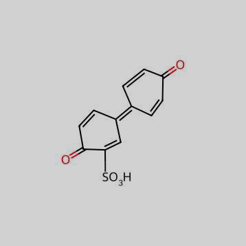 O=C1C=CC(=C2C=CC(=O)C(S(=O)(=O)O)=C2)C=C1